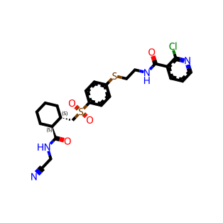 N#CCNC(=O)[C@H]1CCCC[C@@H]1CS(=O)(=O)c1ccc(SCCNC(=O)c2cccnc2Cl)cc1